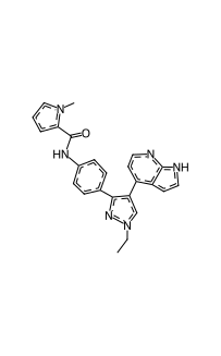 CCn1cc(-c2ccnc3[nH]ccc23)c(-c2ccc(NC(=O)c3cccn3C)cc2)n1